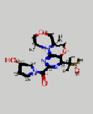 C[C@@H]1COC[C@H]2COc3c(nc(C(=O)N4CC[C@@H](O)C4)nc3C(C)(C)[S+](C)[O-])N21